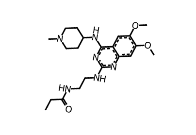 CCC(=O)NCCNc1nc(NC2CCN(C)CC2)c2cc(OC)c(OC)cc2n1